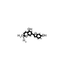 CC1(C)C=Cc2c(O)cc(-c3cc4ccc(O)cc4o3)cc2O1